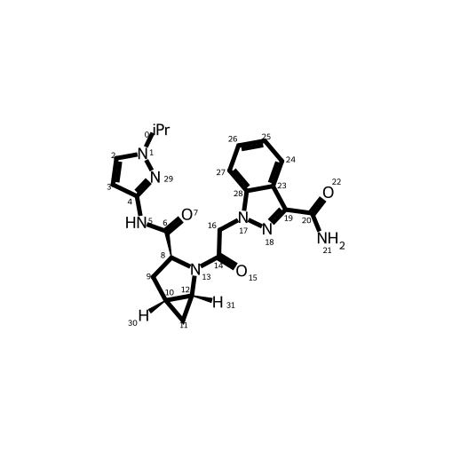 CC(C)n1ccc(NC(=O)[C@@H]2C[C@H]3C[C@H]3N2C(=O)Cn2nc(C(N)=O)c3ccccc32)n1